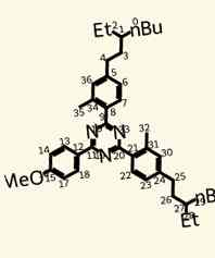 CCCCC(CC)CCc1ccc(-c2nc(-c3ccc(OC)cc3)nc(-c3ccc(CCC(CC)CCCC)cc3C)n2)c(C)c1